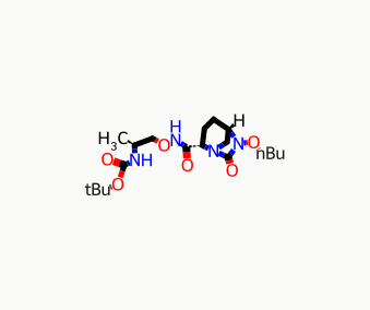 CCCCON1C(=O)N2C[C@@H]1CC[C@H]2C(=O)NOC[C@@H](C)NC(=O)OC(C)(C)C